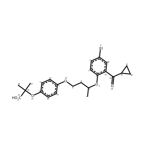 CCc1ccc(OC(C)CCOc2ccc(OC(C)(C)C(=O)O)cc2)c(C(=O)C2CC2)c1